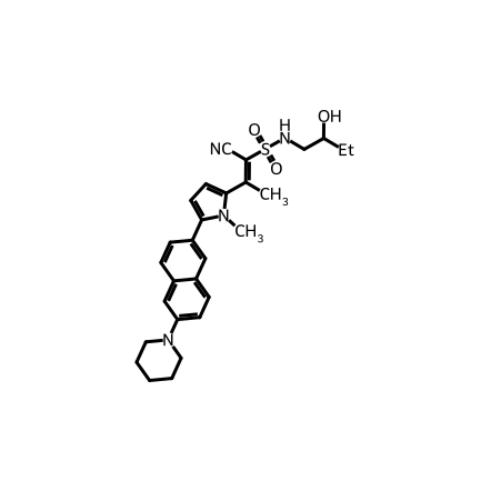 CCC(O)CNS(=O)(=O)/C(C#N)=C(\C)c1ccc(-c2ccc3cc(N4CCCCC4)ccc3c2)n1C